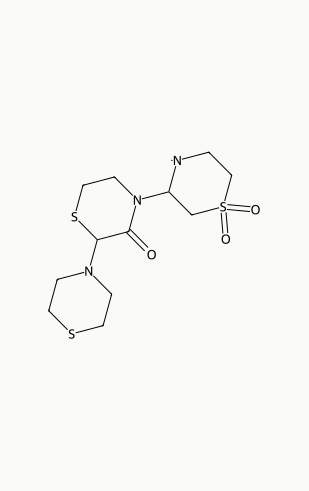 O=C1C(N2CCSCC2)SCCN1C1CS(=O)(=O)CC[N]1